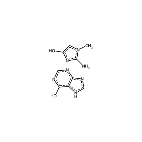 Cn1cc(O)nc1N.Oc1ncnc2nc[nH]c12